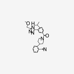 COCc1nnc(-c2cc(C(=O)N3CCC(c4ccccc4C#N)CC3)ccc2C(C)C)[nH]1